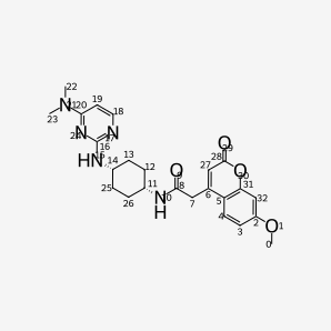 COc1ccc2c(CC(=O)N[C@H]3CC[C@@H](Nc4nccc(N(C)C)n4)CC3)cc(=O)oc2c1